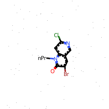 CCCn1c(=O)c(Br)cc2cnc(Cl)cc21